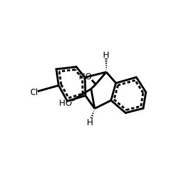 OC1C(O)[C@H]2c3ccccc3[C@@H]1c1ccc(Cl)cc12